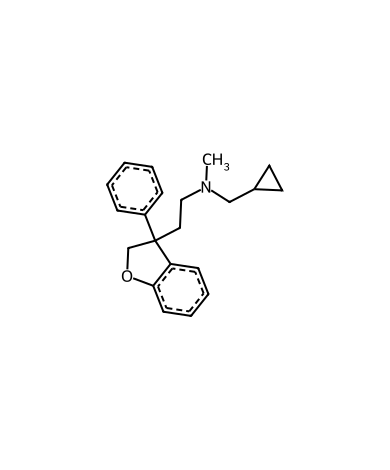 CN(CCC1(c2ccccc2)COc2ccccc21)CC1CC1